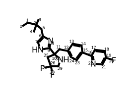 CCC(C)(C)Cc1c[nH]c(C2(Cc3ccc(-c4ccc(F)cn4)cc3)CC(F)(F)CN2)n1